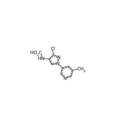 Cc1cncc(-n2cc(NC(=O)O)c(Cl)n2)c1